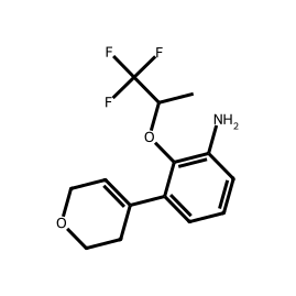 CC(Oc1c(N)cccc1C1=CCOCC1)C(F)(F)F